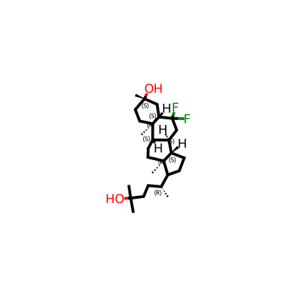 C[C@H](CCC(C)(C)O)C1CC[C@H]2[C@@H]3CC(F)(F)[C@H]4C[C@@](C)(O)CC[C@]4(C)[C@H]3CC[C@]12C